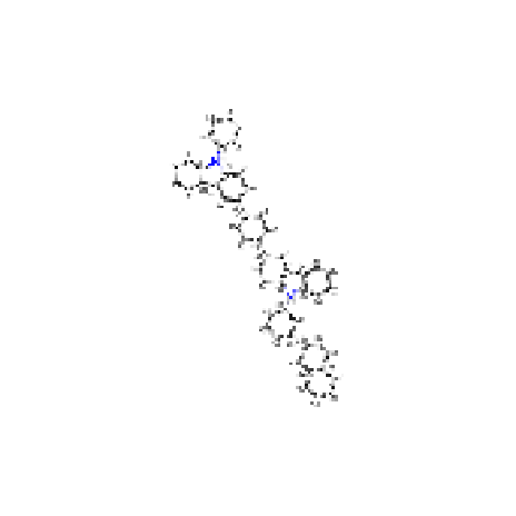 c1ccc(-n2c3ccccc3c3cc(-c4ccc(-c5ccc6c(c5)c5ccccc5n6-c5cccc(-c6ccc7ccccc7c6)c5)cc4)ccc32)cc1